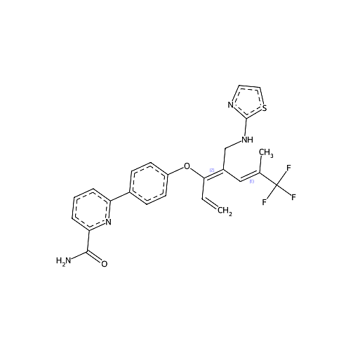 C=C/C(Oc1ccc(-c2cccc(C(N)=O)n2)cc1)=C(\C=C(/C)C(F)(F)F)CNc1nccs1